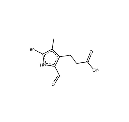 Cc1c(Br)[nH]c(C=O)c1CCC(=O)O